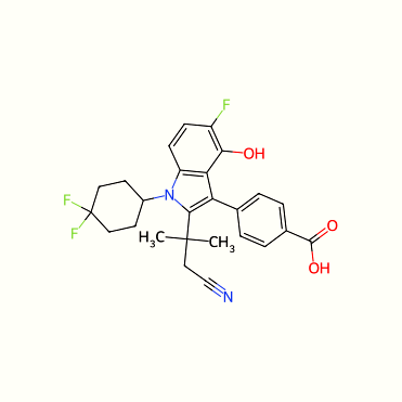 CC(C)(CC#N)c1c(-c2ccc(C(=O)O)cc2)c2c(O)c(F)ccc2n1C1CCC(F)(F)CC1